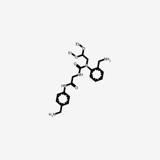 CCOC(CN(C(=O)NCC(=O)Nc1ccc(CN)cc1)c1ccccc1CN)OCC